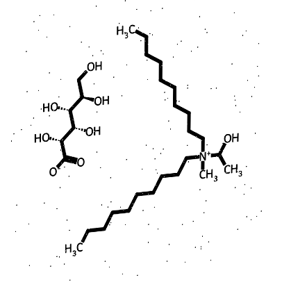 CCCCCCCCCC[N+](C)(CCCCCCCCCC)C(C)O.O=C([O-])[C@H](O)[C@@H](O)[C@H](O)[C@H](O)CO